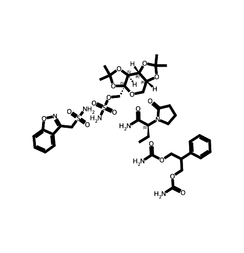 CC1(C)O[C@@H]2[C@@H](CO[C@@]3(COS(N)(=O)=O)OC(C)(C)O[C@@H]23)O1.CC[C@@H](C(N)=O)N1CCCC1=O.NC(=O)OCC(COC(N)=O)c1ccccc1.NS(=O)(=O)Cc1noc2ccccc12